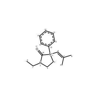 [CH2]CN1CC[N+](C=C(C)C)(c2ccccc2)C1=O